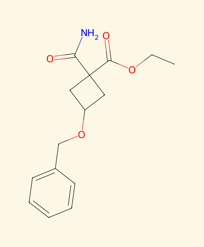 CCOC(=O)C1(C(N)=O)CC(OCc2ccccc2)C1